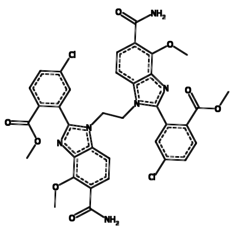 COC(=O)c1ccc(Cl)cc1-c1nc2c(OC)c(C(N)=O)ccc2n1CCn1c(-c2cc(Cl)ccc2C(=O)OC)nc2c(OC)c(C(N)=O)ccc21